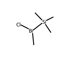 [CH3][Bi]([Cl])[Si](C)(C)C